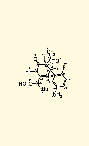 CCN1C(=O)[C@@H]2[C@@H](C(F)(F)F)OC[C@]2(c2cc(N)ccc2F)N=C1N(C(=O)O)C(C)(C)C